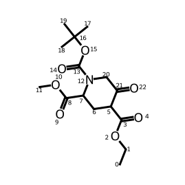 CCOC(=O)C1CC(C(=O)OC)N(C(=O)OC(C)(C)C)CC1=O